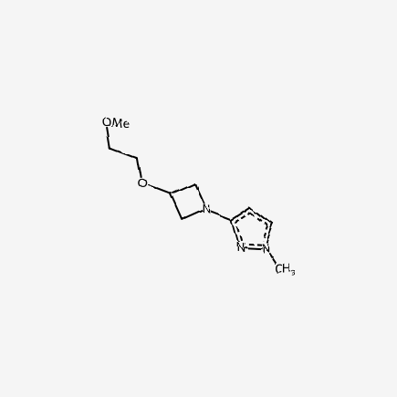 COCCOC1CN(c2ccn(C)n2)C1